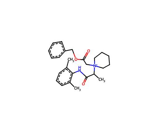 Cc1cccc(C)c1NC(=O)C(C)[N+]1(CC(=O)OCc2ccccc2)CCCCC1